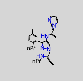 C=C=C(Cn1cc(NC(=C)C2=C3N=CC=CN32)c(-c2cc(C)ccc2CCC)n1)NCCC